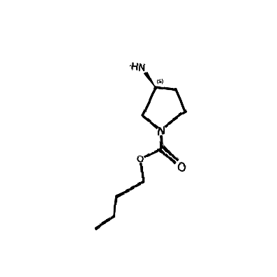 CCCCOC(=O)N1CC[C@H]([NH])C1